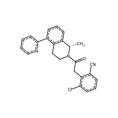 C[C@H]1c2cccc(-c3ccccn3)c2CCN1C(=O)Cc1c(Cl)cccc1C#N